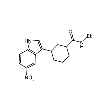 CCNC(=O)C1CCCC(c2c[nH]c3ccc([N+](=O)[O-])cc23)C1